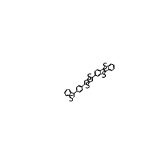 c1ccc2c(-c3ccc(-c4cc5sc(-c6ccc7c(c6)sc6c8ccccc8sc76)cc5s4)cc3)csc2c1